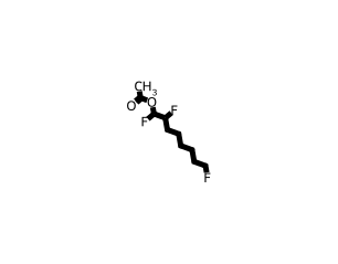 CC(=O)OC(F)C(F)CCCCCCF